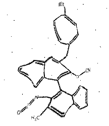 CCc1ccc(Cc2cc3ccccc3c(-c3c(N=C=O)c(C)cc4ccccc34)c2OC#N)cc1